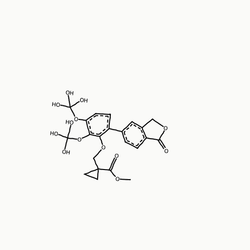 COC(=O)C1(COc2c(-c3ccc4c(c3)COC4=O)ccc(OC(O)(O)O)c2OC(O)(O)O)CC1